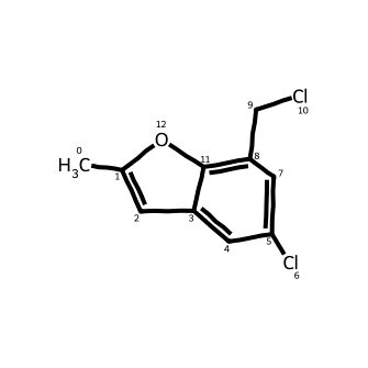 Cc1cc2cc(Cl)cc(CCl)c2o1